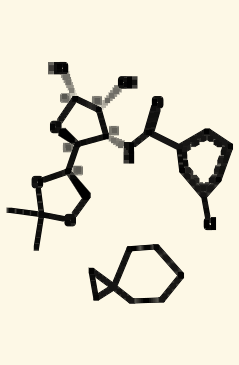 C1CCC2(CC1)CC2.CC1(C)OC[C@H]([C@H]2O[C@H](O)[C@H](O)[C@@H]2NC(=O)c2cccc(Cl)c2)O1